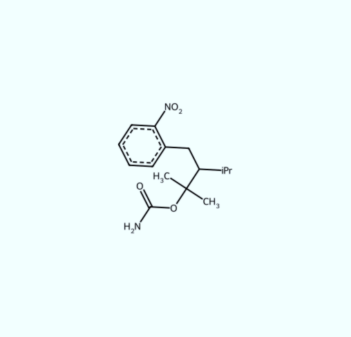 CC(C)C(Cc1ccccc1[N+](=O)[O-])C(C)(C)OC(N)=O